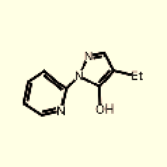 CCc1cnn(-c2ccccn2)c1O